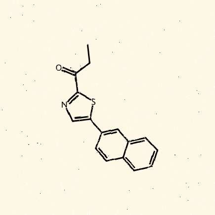 CCC(=O)c1ncc(-c2ccc3ccccc3c2)s1